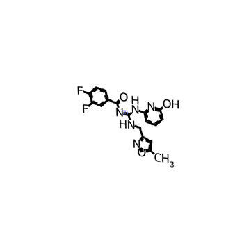 Cc1cc(CN/C(=N/C(=O)c2ccc(F)c(F)c2)Nc2cccc(O)n2)no1